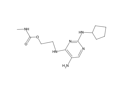 CNC(=O)OCCNc1nc(NC2CCCC2)ncc1N